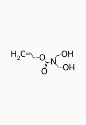 C=CCOC(=O)N(CO)CO